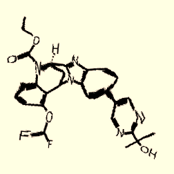 CCOC(=O)N1c2cccc(OC(F)F)c2C2C[C@@H]1c1nc3ccc(-c4cnc(C(C)(C)O)nc4)cc3n12